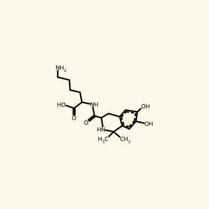 CC1(C)NC(C(=O)NC(CCCCN)C(=O)O)Cc2cc(O)c(O)cc21